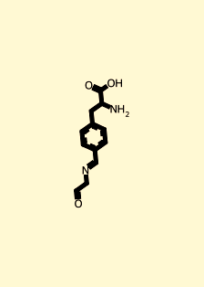 NC(Cc1ccc(/C=N/CC=O)cc1)C(=O)O